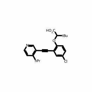 CCCc1ccncc1C#Cc1cc(Cl)ccc1OC(C(=O)O)C(C)(C)C